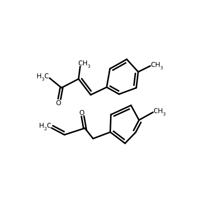 C=CC(=O)Cc1ccc(C)cc1.CC(=O)/C(C)=C/c1ccc(C)cc1